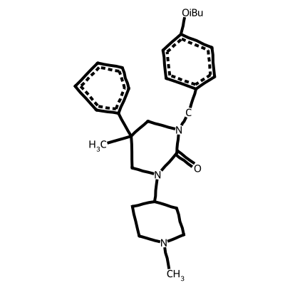 CC(C)COc1ccc(CN2CC(C)(c3ccccc3)CN(C3CCN(C)CC3)C2=O)cc1